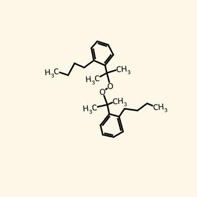 CCCCc1ccccc1C(C)(C)OOC(C)(C)c1ccccc1CCCC